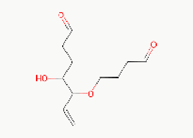 C=CC(OCCCC=O)C(O)CCC=O